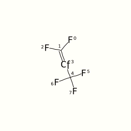 F[C](F)=[Cf][C](F)(F)F